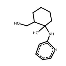 OCC1CCCCC1(O)Nc1ccccn1